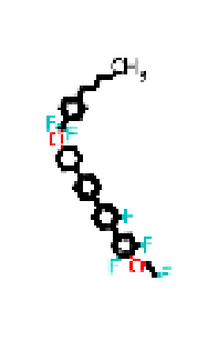 CCCCCc1ccc(C(F)(F)OC2CCC(c3ccc(-c4ccc(-c5cc(F)c(OCCF)c(F)c5)c(F)c4)cc3)CC2)cc1